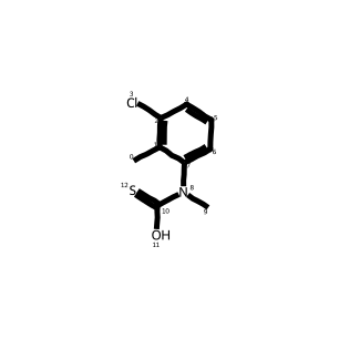 Cc1c(Cl)cccc1N(C)C(O)=S